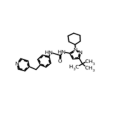 CC(C)(C)c1cc(NC(=O)Nc2ccc(Cc3ccncc3)cc2)n(C2CCCCC2)n1